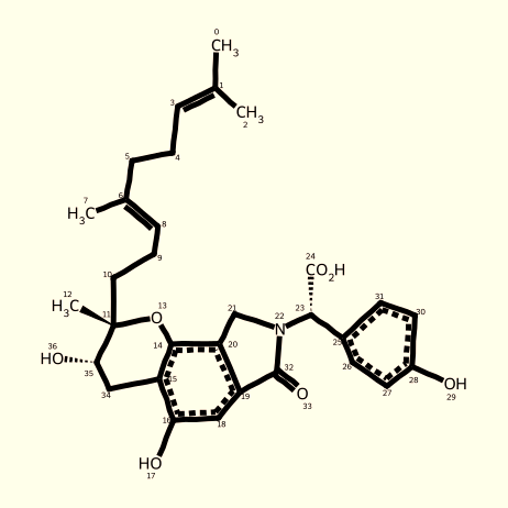 CC(C)=CCC/C(C)=C/CC[C@]1(C)Oc2c(c(O)cc3c2CN([C@H](C(=O)O)c2ccc(O)cc2)C3=O)C[C@@H]1O